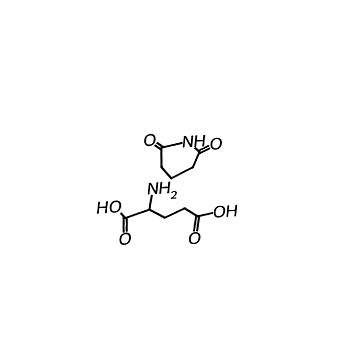 NC(CCC(=O)O)C(=O)O.O=C1CCCC(=O)N1